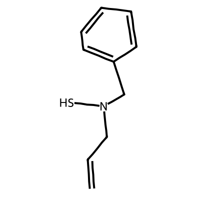 C=CCN(S)Cc1ccccc1